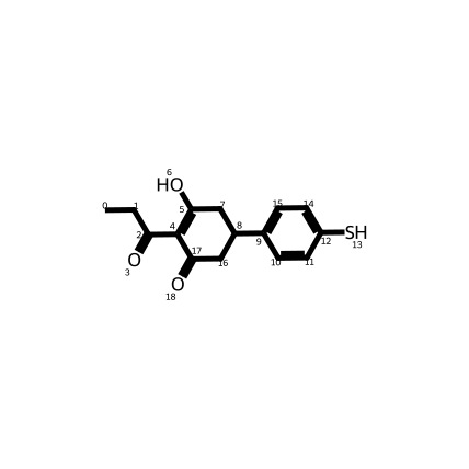 CCC(=O)C1=C(O)CC(c2ccc(S)cc2)CC1=O